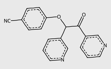 N#Cc1ccc(OC(C(=O)c2cccnc2)c2cccnc2)cc1